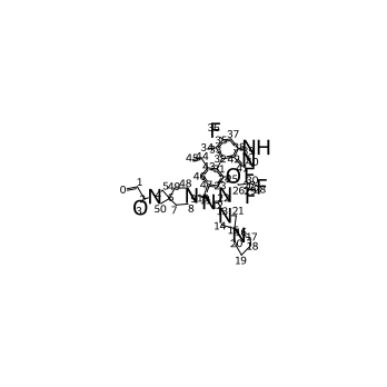 C=CC(=O)N1CC2(CCN(c3nc(N4CC(N5CCCC5)C4)nc4c(OCC(F)(F)F)c(-c5c(C)c(F)cc6[nH]ncc56)c(C=C)cc34)CC2)C1